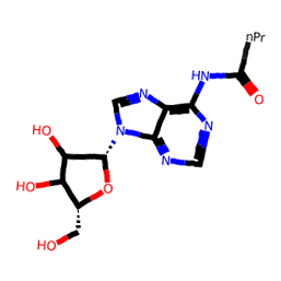 CCCC(=O)Nc1ncnc2c1ncn2[C@@H]1O[C@H](CO)C(O)C1O